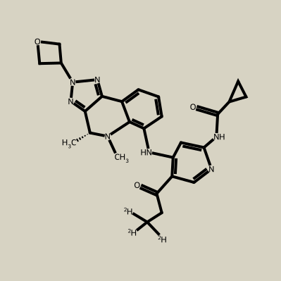 [2H]C([2H])([2H])CC(=O)c1cnc(NC(=O)C2CC2)cc1Nc1cccc2c1N(C)[C@H](C)c1nn(C3COC3)nc1-2